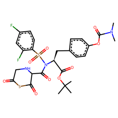 CN(C)C(=O)Oc1ccc(C[C@@H](C(=O)OC(C)(C)C)N(C(=O)C2NCC(=O)SC2=O)S(=O)(=O)c2ccc(F)cc2F)cc1